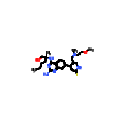 CCCCC(C)(CO)Nc1nc(N)nc2cc(-c3cc(=S)[nH]cc3CN(C)CCOC)ccc12